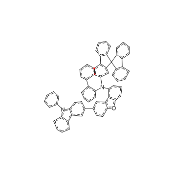 c1ccc(-c2ccccc2N(c2ccc3c(c2)C2(c4ccccc4-c4ccccc42)c2ccccc2-3)c2cccc3oc4ccc(-c5ccc6c(c5)c5ccccc5n6-c5ccccc5)cc4c23)cc1